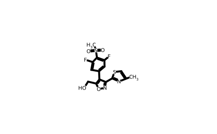 Cc1csc(-c2noc(CO)c2-c2cc(F)c(S(C)(=O)=O)c(F)c2)n1